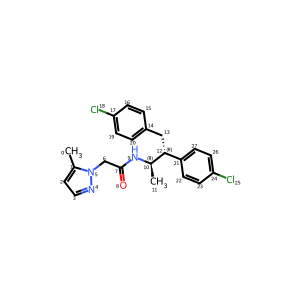 Cc1ccnn1CC(=O)N[C@H](C)[C@H](Cc1ccc(Cl)cc1)c1ccc(Cl)cc1